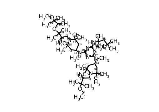 CCOC(C)(C)C(=O)CN1C(C)(C)CC(N(C)c2nc(NC(C)(C)CC(C)(C)C)nc(N(C)C3CC(C)(C)N(CC(=O)C(C)(C)OC(C)C(C)(C)OC)C(C)(C)C3)n2)CC1(C)C